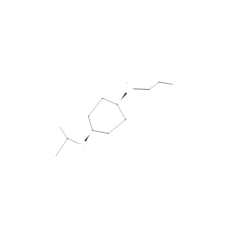 CC(C)N[C@H]1CC[C@@H](OCCO)CC1